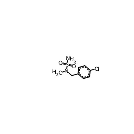 CN(Cc1ccc(Cl)cc1)S(N)(=O)=O